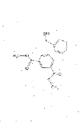 COC(=O)c1cccc(C(=O)OC)c1.OCc1ccccc1